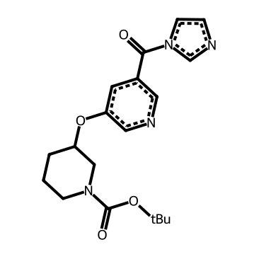 CC(C)(C)OC(=O)N1CCCC(Oc2cncc(C(=O)n3ccnc3)c2)C1